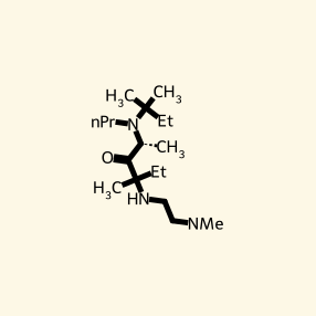 CCCN([C@H](C)C(=O)C(C)(CC)NCCNC)C(C)(C)CC